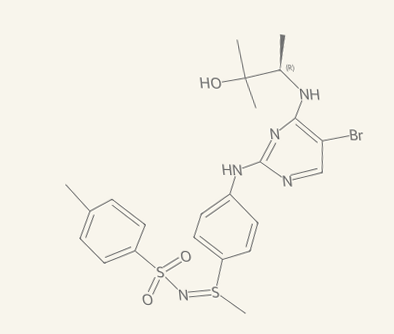 Cc1ccc(S(=O)(=O)N=S(C)c2ccc(Nc3ncc(Br)c(N[C@H](C)C(C)(C)O)n3)cc2)cc1